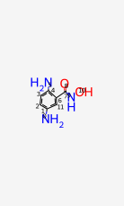 Nc1ccc(N)c(C(=O)NO)c1